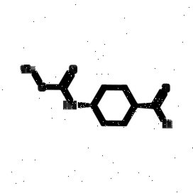 CCC(=O)[C@H]1CC[C@H](NC(=O)OC(C)(C)C)CC1